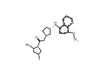 N#CC1C[C@H](F)CN1C(=O)CN1CC[C@H](Nc2ccc(OC(F)(F)F)c3ncccc23)C1